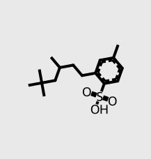 Cc1ccc(S(=O)(=O)O)c(CCC(C)CC(C)(C)C)c1